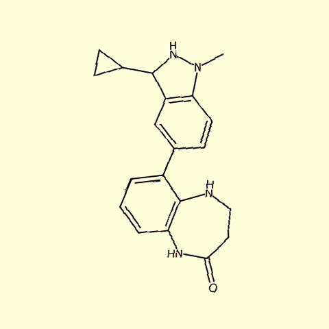 CN1NC(C2CC2)c2cc(-c3cccc4c3NCCC(=O)N4)ccc21